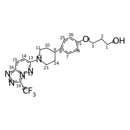 OCCCOc1ccc(C2CCN(c3ccc4nnc(C(F)(F)F)n4n3)CC2)cc1